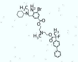 CCN(Cc1cc(C(=O)OCCN(C)CCOC(=O)C(C)(F)c2ccc(-c3ccccc3)cc2)cc(Br)c1N)C1CCCCC1